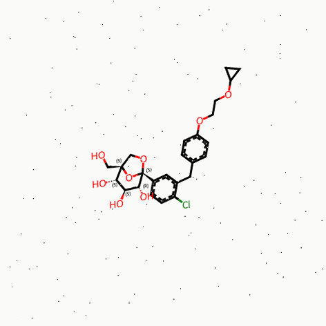 OC[C@@]12CO[C@@](c3ccc(Cl)c(Cc4ccc(OCCOC5CC5)cc4)c3)(O1)[C@H](O)[C@@H](O)[C@@H]2O